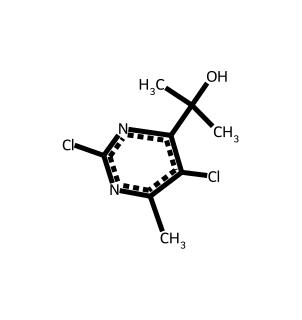 Cc1nc(Cl)nc(C(C)(C)O)c1Cl